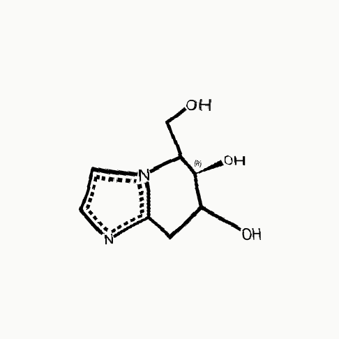 OCC1[C@@H](O)C(O)Cc2nccn21